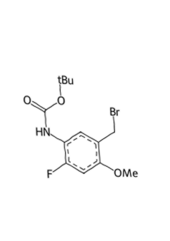 COc1cc(F)c(NC(=O)OC(C)(C)C)cc1CBr